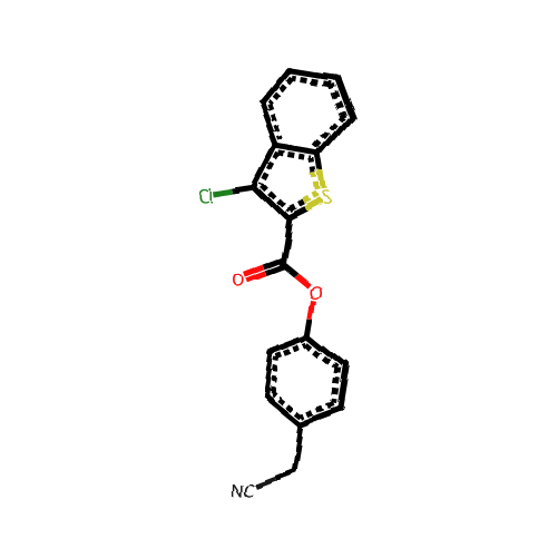 N#CCc1ccc(OC(=O)c2sc3ccccc3c2Cl)cc1